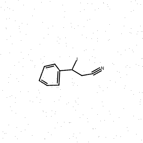 N#CCC(I)c1ccccc1